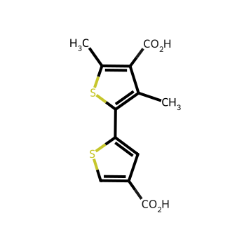 Cc1sc(-c2cc(C(=O)O)cs2)c(C)c1C(=O)O